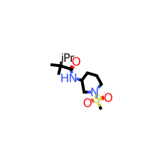 CC(C)C(C)(C)C(=O)NC1CCCN(S(C)(=O)=O)C1